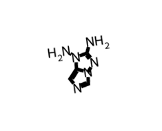 Nc1nn2cncc2n1N